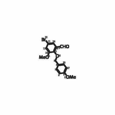 COc1ccc(COc2c(C=O)cc(Br)cc2OC)cc1